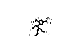 C#CCC(C1=C(C(=C)C)C=C(C(=C)NC)C1)C(/C=C/C)=C/C=C\C